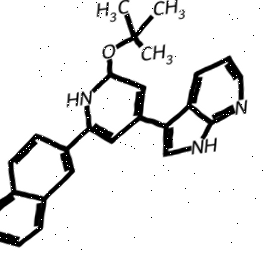 CC(C)(C)OC1C=C(c2c[nH]c3ncccc23)C=C(c2ccc3ccccc3c2)N1